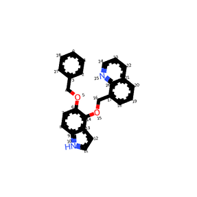 c1ccc(COc2ccc3[nH]ccc3c2OCc2cccc3cccnc23)cc1